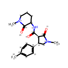 CN1CCCC(NC(=O)[C@H]2C(=O)N(C)C[C@@H]2c2ccc(C(F)(F)F)cc2)C1=O